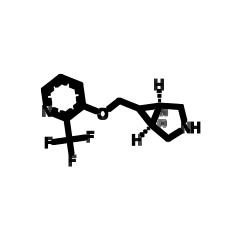 FC(F)(F)c1ncccc1OCC1[C@H]2CNC[C@@H]12